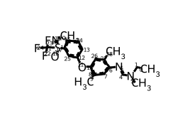 CCN(C)C=Nc1cc(C)c(Oc2cccc(S(=O)(=NC)C(F)(F)F)c2)cc1C